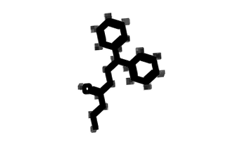 CCCC(=O)CCC(c1ccccc1)c1ccccc1